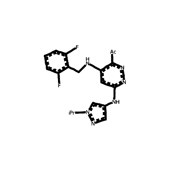 CC(=O)c1nnc(Nc2cnn(C(C)C)c2)cc1NCc1c(F)cccc1F